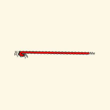 COCCOCCOCCOCCOCCOCCOCCOCCOCCOCCOCCOCCOCCOCCOCCOCCOCCOCCOCCOCCOCCOCCOCCOCCOCCOCCOCCOCCOCCOCCOCCOCCOCCOCCOCCOCCOCCOCCOCCOCCOCCOCC(C)OCC(C)OCC(C)OCC(C)N